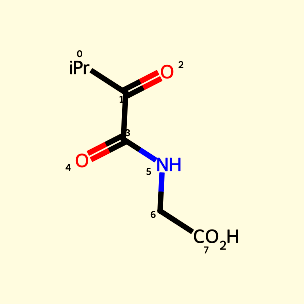 CC(C)C(=O)C(=O)NCC(=O)O